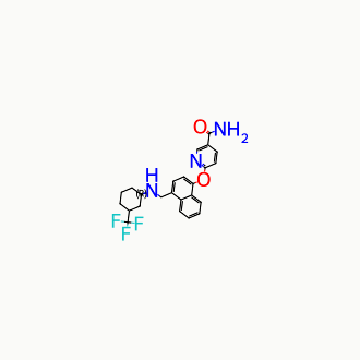 NC(=O)c1ccc(Oc2ccc(CN[C@@H]3CCCC(C(F)(F)F)C3)c3ccccc23)nc1